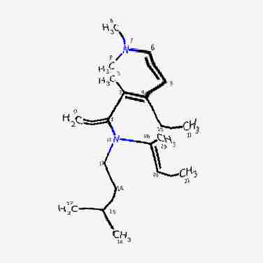 C=C(/C(C)=C(/C=C\N(C)C)CC)N(CCC(C)C)/C(C)=C/C